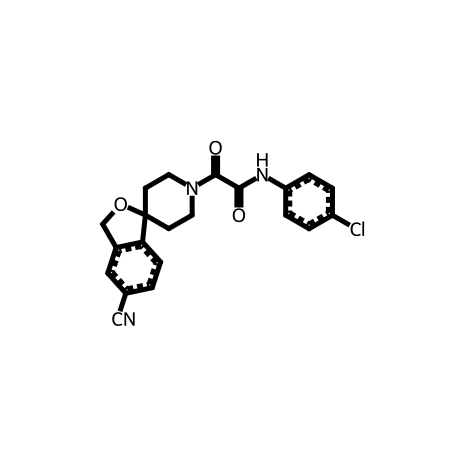 N#Cc1ccc2c(c1)COC21CCN(C(=O)C(=O)Nc2ccc(Cl)cc2)CC1